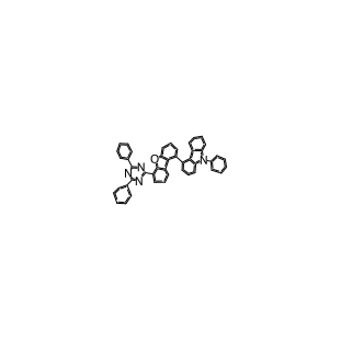 c1ccc(-c2nc(-c3ccccc3)nc(-c3cccc4c3oc3cccc(-c5cccc6c5c5ccccc5n6-c5ccccc5)c34)n2)cc1